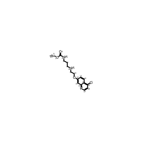 CC(C)(C)OC(=O)NCCCNCCOc1ccc2c(Cl)ccnc2c1